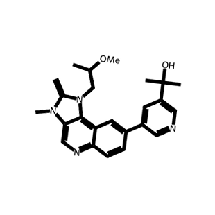 C=C1N(C)c2cnc3ccc(-c4cncc(C(C)(C)O)c4)cc3c2N1CC(C)OC